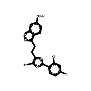 CC(=O)Nc1ccc2c(CCc3nc(-c4ccc(Cl)cc4Cl)oc3C(C)C)noc2c1